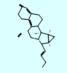 C=C[C@H]1C[C@@]2(C)[C@@H]([C@@H]3C[C@@H]3[C@@]2(O)C=CCO)[C@@H]2CCC3=CC(=O)CCC3=C21